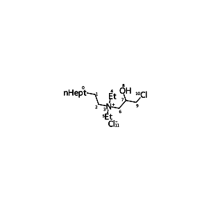 CCCCCCCCC[N+](CC)(CC)CC(O)CCl.[Cl-]